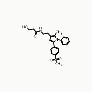 Cc1c(CCNC(=O)CCO)cc(-c2ccc(S(C)(=O)=O)cc2)n1-c1ccccc1